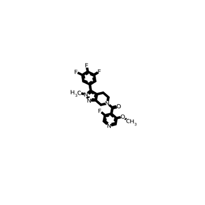 COc1cncc(F)c1C(=O)N1CCc2c(nn(C)c2-c2cc(F)c(F)c(F)c2)C1